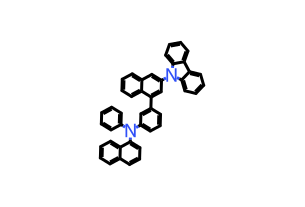 c1ccc(N(c2cccc(-c3cc(-n4c5ccccc5c5ccccc54)cc4ccccc34)c2)c2cccc3ccccc23)cc1